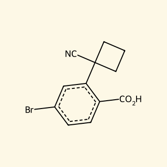 N#CC1(c2cc(Br)ccc2C(=O)O)CCC1